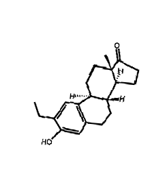 CCc1cc2c(cc1O)CC[C@@H]1[C@@H]2CC[C@]2(C)C(=O)CC[C@@H]12